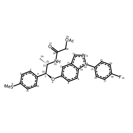 CSc1ccc([C@H](Oc2ccc3c(cnn3-c3ccc(F)cc3)c2)[C@H](C)NC(=O)COC(C)=O)cc1